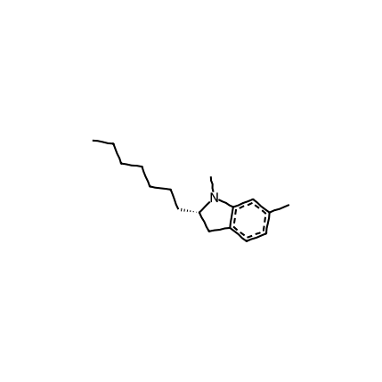 CCCCCCC[C@H]1Cc2ccc(C)cc2N1C